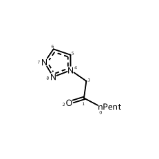 CCCCCC(=O)Cn1ccnn1